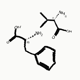 CC(C)[C@H](N)C(=O)O.N[C@H](Cc1ccccc1)C(=O)O